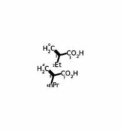 C=C(CC)C(=O)O.C=C(CCC)C(=O)O